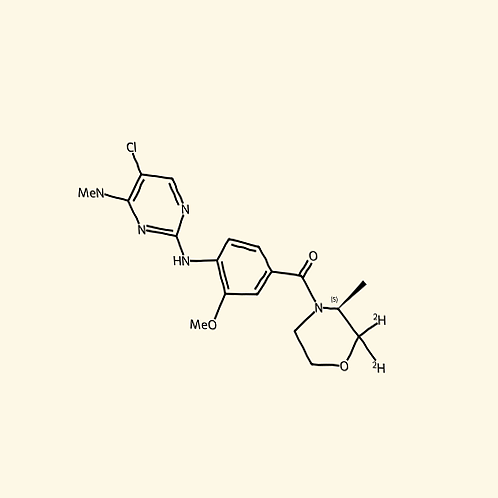 [2H]C1([2H])OCCN(C(=O)c2ccc(Nc3ncc(Cl)c(NC)n3)c(OC)c2)[C@H]1C